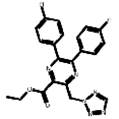 CCOC(=O)c1nc(-c2ccc(Cl)cc2)c(-c2ccc(Cl)cc2)nc1Cn1ncnn1